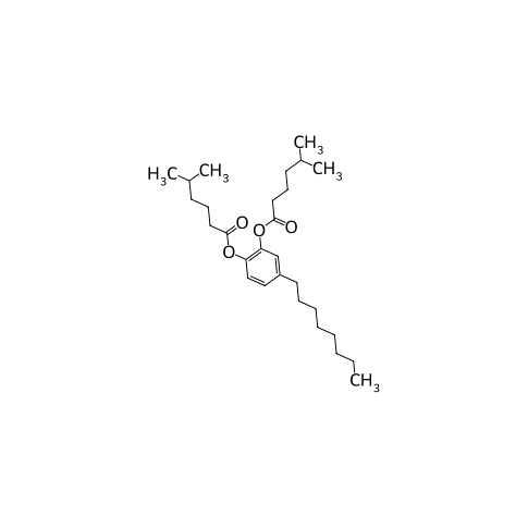 CCCCCCCCc1ccc(OC(=O)CCCC(C)C)c(OC(=O)CCCC(C)C)c1